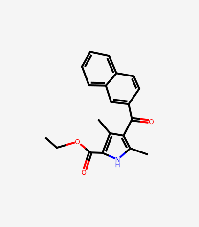 CCOC(=O)c1[nH]c(C)c(C(=O)c2ccc3ccccc3c2)c1C